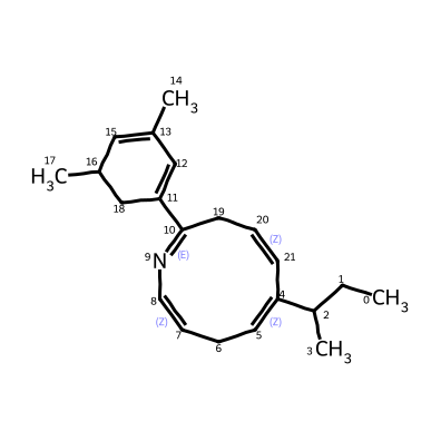 CCC(C)C1=C/C/C=C\N=C(\C2=CC(C)=CC(C)C2)C/C=C\1